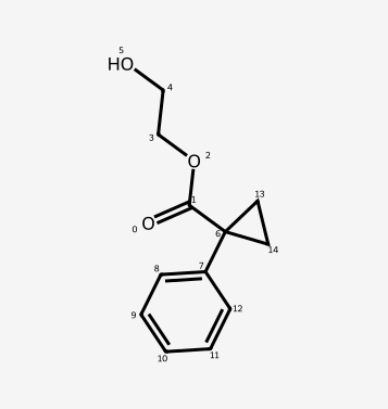 O=C(OCCO)C1(c2ccccc2)CC1